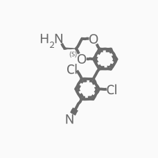 N#Cc1cc(Cl)c(-c2cccc3c2O[C@@H](CN)CO3)c(Cl)c1